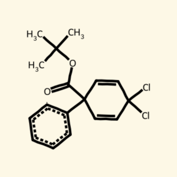 CC(C)(C)OC(=O)C1(c2[c]cccc2)C=CC(Cl)(Cl)C=C1